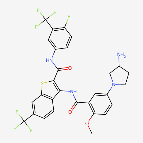 COc1ccc(N2CCC(N)C2)cc1C(=O)Nc1c(C(=O)Nc2ccc(F)c(C(F)(F)F)c2)sc2cc(C(F)(F)F)ccc12